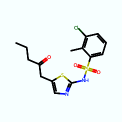 CCCC(=O)Cc1cnc(NS(=O)(=O)c2cccc(Cl)c2C)s1